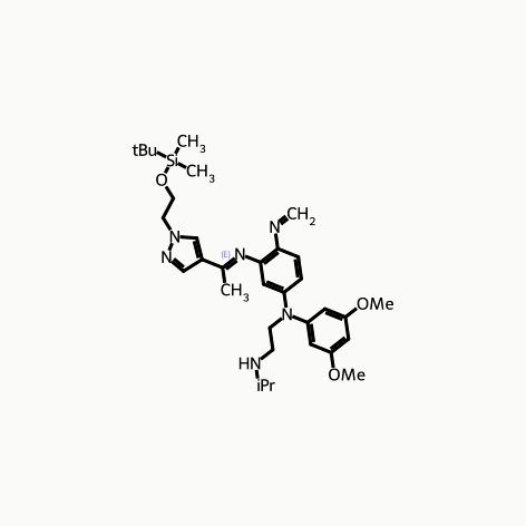 C=Nc1ccc(N(CCNC(C)C)c2cc(OC)cc(OC)c2)cc1/N=C(\C)c1cnn(CCO[Si](C)(C)C(C)(C)C)c1